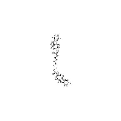 C=C(CCCCCCCCC(=O)OC1CC(C)(C)N(CC2CCCCC2)C(C)(C)C1)OC1CC(C)(C)N(OC2CCCCC2)C(C)(C)C1